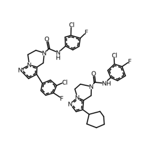 O=C(Nc1ccc(F)c(Cl)c1)N1CCn2ncc(-c3ccc(F)c(Cl)c3)c2C1.O=C(Nc1ccc(F)c(Cl)c1)N1CCn2ncc(C3CCCCC3)c2C1